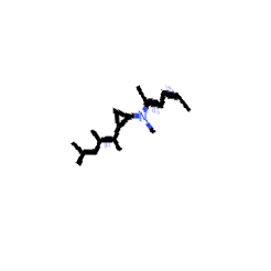 C/C=C\C=C(/C)N(C)C1CC1/C(C)=C(\C)C=C(C)C